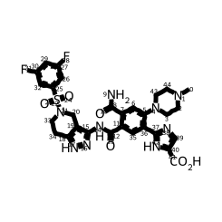 CN1CCN(c2cc(C(N)=O)c(C(=O)Nc3n[nH]c4c3CN(S(=O)(=O)c3cc(F)cc(F)c3)CC4)cc2-c2ncc(C(=O)O)[nH]2)CC1